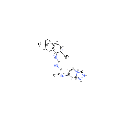 C=C(CNC/N=C(C1=CCC(C)(C)CC1)\C(C)=C/C=O)Nc1ccn2cnnc2c1